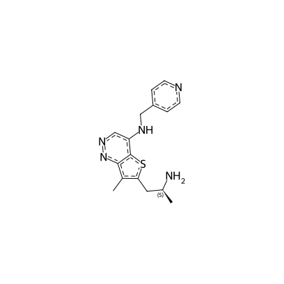 Cc1c(C[C@H](C)N)sc2c(NCc3ccncc3)cnnc12